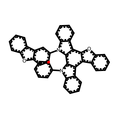 c1ccc(-n2c3ccccc3c3c4c5ccccc5oc4c4c5ccccc5n(-c5ccc6oc7ccccc7c6c5)c4c32)cc1